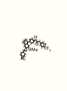 COc1cc2c(-c3ccc(NC(=O)Cc4ccc(C(F)(F)F)nc4)cc3)ncnc2cc1OCC1CCN(C(C)=O)CC1